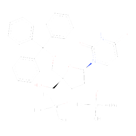 CC(C)(C)[Si](C)(C)O[C@H]1[C@H](n2ccc(=O)[nH]c2=O)O[C@@](CO)(COC(c2ccccc2)(c2ccccc2)c2ccccc2)[C@H]1O[Si](C)(C)C(C)(C)C